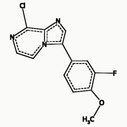 COc1ccc(-c2cnc3c(Cl)nccn23)cc1F